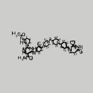 CC(=O)N[C@@H]1CCCN(c2nnc(C(N)=O)c(Nc3ccc(N4CCN(CC5CCN(c6ccc(N7CCC(=O)NC7=O)cc6)CC5)CC4)c(F)c3)n2)C1